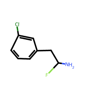 NC(F)Cc1cccc(Cl)c1